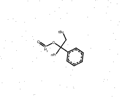 CCCC(CC(C)(C)C)(O[PH2]=O)c1ccccc1